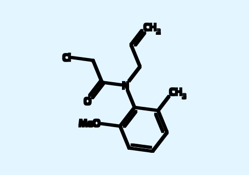 C=CCN(C(=O)CCl)c1c(C)cccc1OC